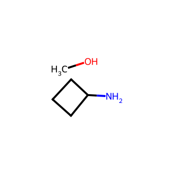 CO.NC1CCC1